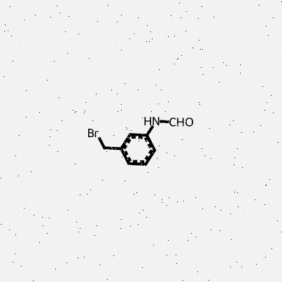 O=CNc1cccc(CBr)c1